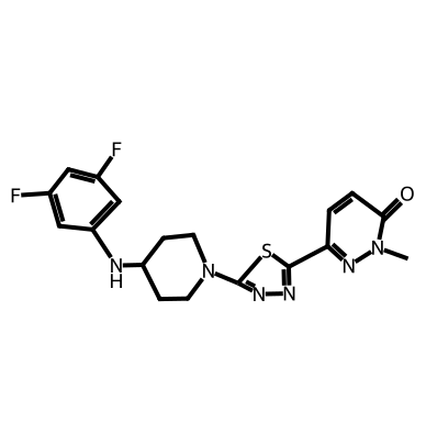 Cn1nc(-c2nnc(N3CCC(Nc4cc(F)cc(F)c4)CC3)s2)ccc1=O